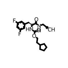 C#CCNC(=O)[C@H](Cc1cc(F)cc(F)c1)NC(=O)OCCC1CCCC1